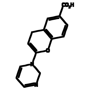 O=C(O)c1ccc2c(c1)CC=C(N1C=CC=NC1)O2